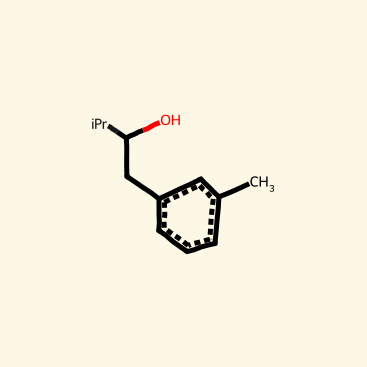 Cc1cccc(CC(O)C(C)C)c1